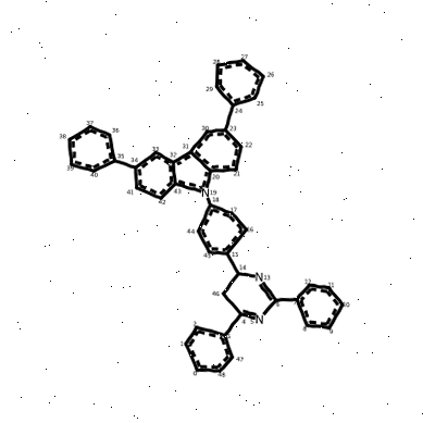 c1ccc(C2=NC(c3ccccc3)=NC(c3ccc(-n4c5ccc(-c6ccccc6)cc5c5cc(-c6ccccc6)ccc54)cc3)C2)cc1